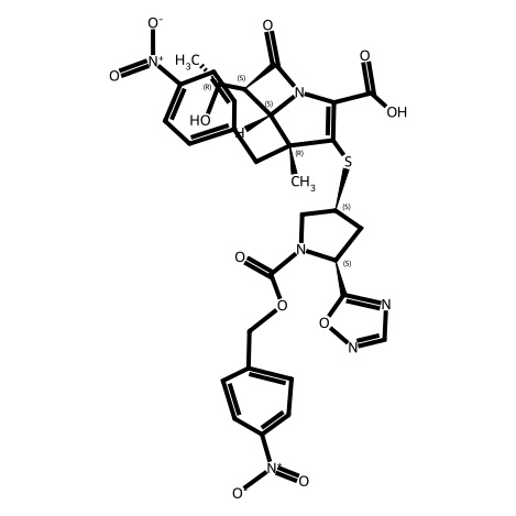 C[C@@H](O)[C@H]1C(=O)N2C(C(=O)O)=C(S[C@H]3C[C@@H](c4ncno4)N(C(=O)OCc4ccc([N+](=O)[O-])cc4)C3)[C@](C)(Cc3ccc([N+](=O)[O-])cc3)[C@H]12